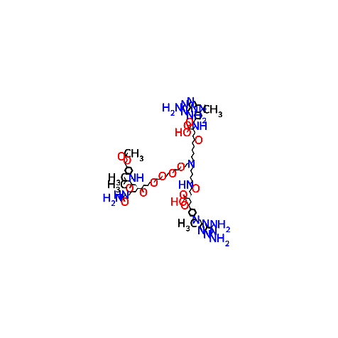 CC(=O)OCc1ccc(N[C@H](C(=O)C[C@@H](CCCNC(N)=O)C(=O)CCCOCCOCCOCCOCCN(CCCCCCC(=O)CC[C@H](NC(=O)c2ccc(N(C)Cc3cnc4nc(N)nc(N)c4n3)cc2)C(=O)O)CCCCCNC(=O)CC[C@H](CC(=O)c2ccc(N(C)Cc3cnc4nc(N)nc(N)c4n3)cc2)C(=O)O)C(C)C)cc1